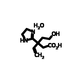 C=CC(CCO)(CC(=O)O)C1=NCCN1.O